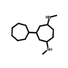 CNC1CCC(NC)CC(C2CCCCCC2)C1